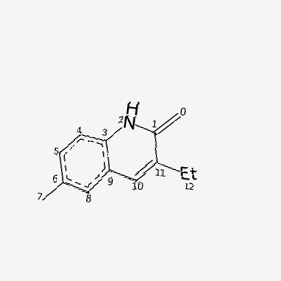 C=C1Nc2ccc(C)cc2C=C1CC